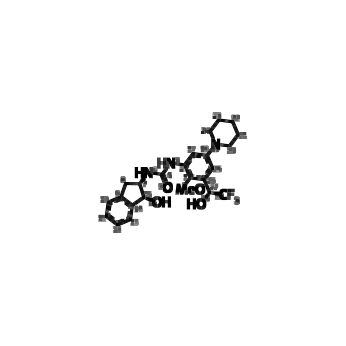 COc1c(NC(=O)N[C@@H]2Cc3ccccc3[C@@H]2O)cc(N2CCCCC2)cc1[C@H](O)C(F)(F)F